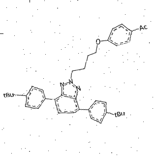 CC(=O)c1ccc(OCCCCn2nc3c(-c4ccc(C(C)(C)C)cc4)ccc(-c4ccc(C(C)(C)C)cc4)c3n2)cc1